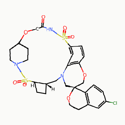 O=C1COC2CCN(CC2)S(=O)(=O)[C@@H]2CC[C@H]2CN2C[C@]3(COc4ccc(cc42)S(=O)(=O)N1)OCCc1cc(Cl)ccc13